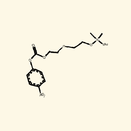 CC(C)(C)[Si](C)(C)OCCOCCOC(=O)Oc1ccc([N+](=O)[O-])cc1